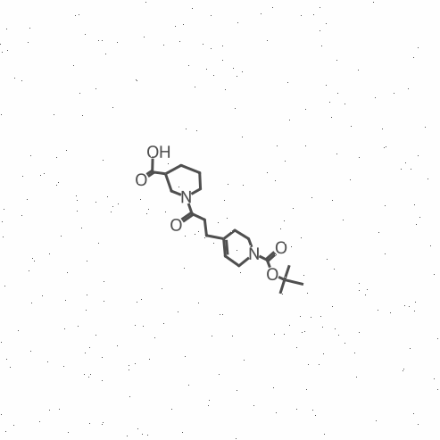 CC(C)(C)OC(=O)N1CC=C(CCC(=O)N2CCCC(C(=O)O)C2)CC1